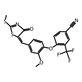 COc1cc(C=C2SC(SC)=NC2=O)ccc1Oc1ccc(C#N)cc1C(F)(F)F